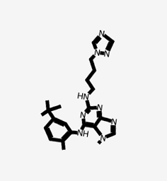 Cc1ccc(C(C)(C)C)cc1Nc1nc(NCCCCn2cncn2)nc2ncn(C)c12